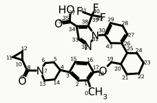 Cc1cc(C2CCN(C(=O)C3CC3)CC2)ccc1OCC1CCCCC1C1=CCC=C(n2ncc(C(=O)O)c2C(F)(F)F)C1